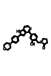 N#Cc1cc(-c2nccc3[nH]c(-c4ccc(N5CCOCC5)cc4)cc23)ccc1CN1CCCC1=O